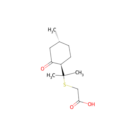 C[C@@H]1CC[C@@H](C(C)(C)SCC(=O)O)C(=O)C1